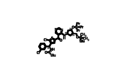 CC(C)[Si](O[C@H]1C[C@H](Nc2ncncc2C(=O)c2cc([C@H](N[S+]([O-])C(C)(C)C)c3cccc(Cl)c3)c(Cl)s2)C[C@@H]1CO[Si](C)(C)C(C)(C)C)(C(C)C)C(C)C